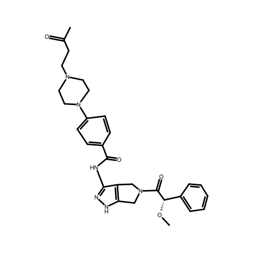 CO[C@H](C(=O)N1Cc2[nH]nc(NC(=O)c3ccc(N4CCN(CCC(C)=O)CC4)cc3)c2C1)c1ccccc1